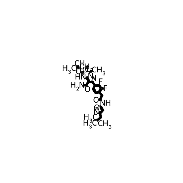 CC(C)n1nc(-c2ccc(CC(=O)Nc3cc(CC(C)(C)C)no3)c(F)c2F)c(C(N)=O)c1NC(=O)OC(C)(C)C